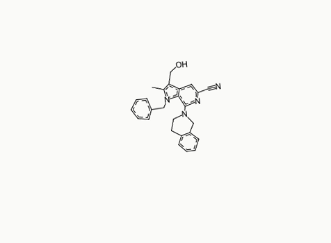 Cc1c(CO)c2cc(C#N)nc(N3CCc4ccccc4C3)c2n1Cc1ccccc1